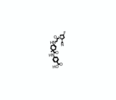 CC1(C(=O)Nc2ccc(C(=O)O)cc2)CC=C(NCC(=O)N2C[C@@H](F)C[C@H]2C#N)CC1